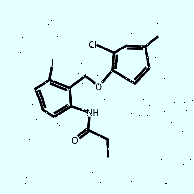 CCC(=O)Nc1cccc(I)c1COc1ccc(C)cc1Cl